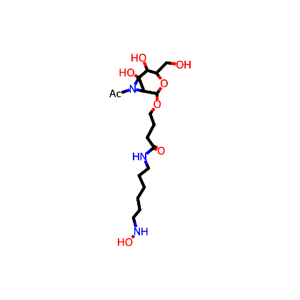 CC(=O)N1C2C(OCCCC(=O)NCCCCCCNO)OC(CO)C(O)C21O